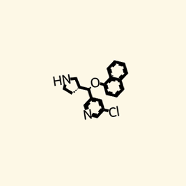 Clc1cncc([C@@H](Oc2cccc3ccccc23)[C@@H]2CCNC2)c1